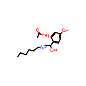 CC(=O)O.CCCCCCNCC(O)c1ccc(O)cc1